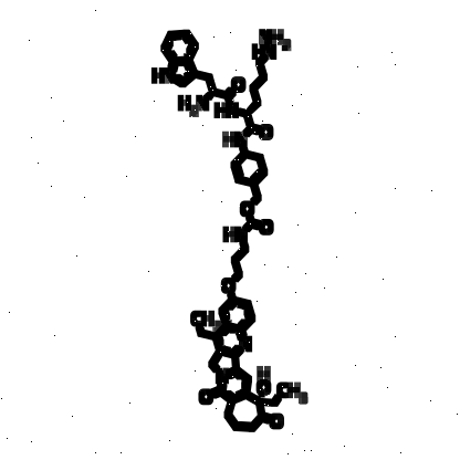 CCc1c2c(nc3ccc(OCCCNC(=O)OCC4=CCC(NC(=O)[C@H](CCCCNN)NC(=O)[C@@H](N)Cc5c[nH]c6ccccc56)C=C4)cc13)-c1cc3c(c(=O)n1C2)CC=CC(=O)[C@]3(O)CC